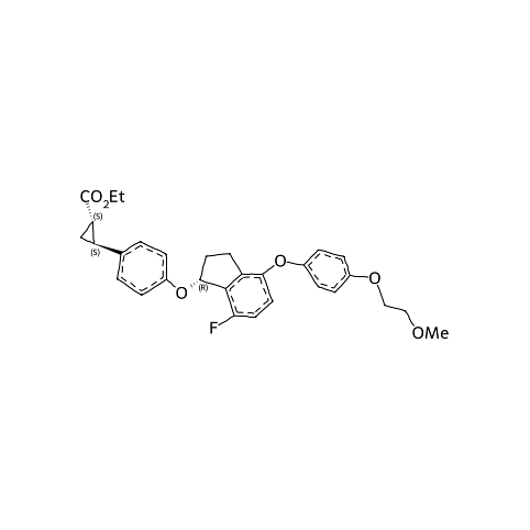 CCOC(=O)[C@H]1C[C@@H]1c1ccc(O[C@@H]2CCc3c(Oc4ccc(OCCOC)cc4)ccc(F)c32)cc1